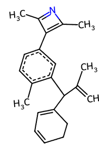 C=C(C)C(C1=CC=CCC1)c1cc(C2=C(C)N=C2C)ccc1C